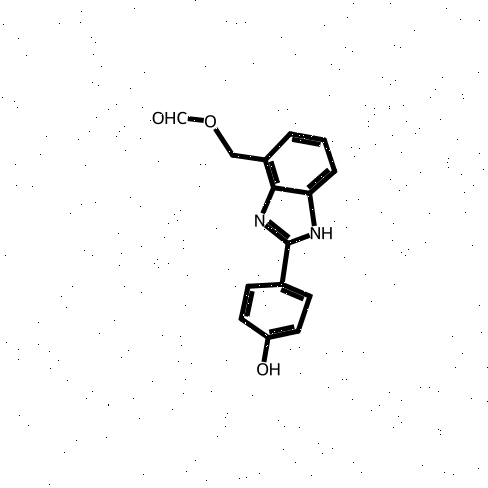 O=COCc1cccc2[nH]c(-c3ccc(O)cc3)nc12